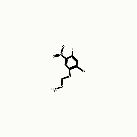 COCOc1cc([N+](=O)[O-])c(F)cc1Br